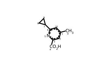 Cc1cc(C(=O)O)nc(C2CC2)c1